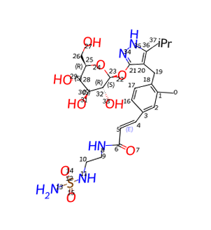 Cc1cc(/C=C/C(=O)NCCNS(N)(=O)=O)ccc1Cc1c(O[C@@H]2O[C@H](CO)[C@@H](O)[C@H](O)[C@H]2O)n[nH]c1C(C)C